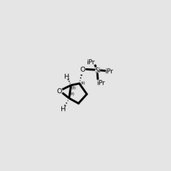 CC(C)[Si](O[C@@H]1CC[C@H]2O[C@H]21)(C(C)C)C(C)C